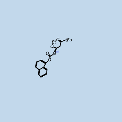 CCO/C(CC(=O)C(C)(C)C)=N\C(=O)Oc1cccc2ccccc12